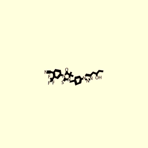 CCC(O)Cc1cn(-c2ccc(CN3C(=S)N(c4ccc(C#N)c(C(F)(F)F)c4)C(=O)C3(C)C)cc2)nn1